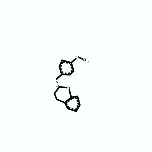 COc1ccc(C[C@H]2CCc3ccccc3O2)cc1